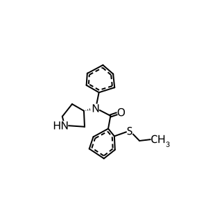 CCSc1ccccc1C(=O)N(c1ccccc1)[C@H]1CCNC1